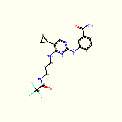 NC(=O)c1cccc(Nc2ncc(C3CC3)c(NCCCNC(=O)C(F)(F)F)n2)c1